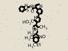 CCC1(C)CC2(C)CC(C)(Cn3ncc(-c4ccc(-c5ccc6nccc(C(=O)Nc7nc8ccccc8s7)c6c5)nc4C(=O)O)c3C)CC(N=O)(C1)C2